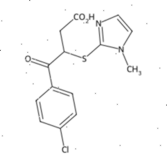 Cn1ccnc1SC(CC(=O)O)C(=O)c1ccc(Cl)cc1